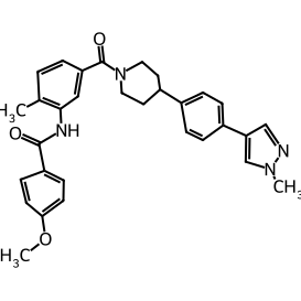 COc1ccc(C(=O)Nc2cc(C(=O)N3CCC(c4ccc(-c5cnn(C)c5)cc4)CC3)ccc2C)cc1